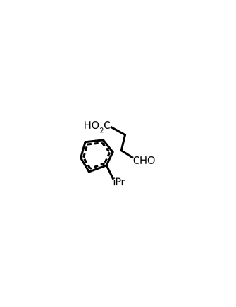 CC(C)c1ccccc1.O=CCCC(=O)O